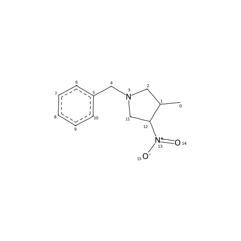 CC1CN(Cc2ccccc2)CC1[N+](=O)[O-]